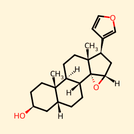 C[C@]12CC[C@H](O)C[C@H]1CC[C@@H]1[C@@H]2CC[C@]2(C)[C@@H](c3ccoc3)C[C@@H]3O[C@]312